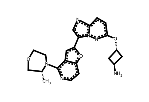 C[C@@H]1COCCN1c1nccc2oc(-c3cnc4ccc(O[C@H]5C[C@H](N)C5)nn34)cc12